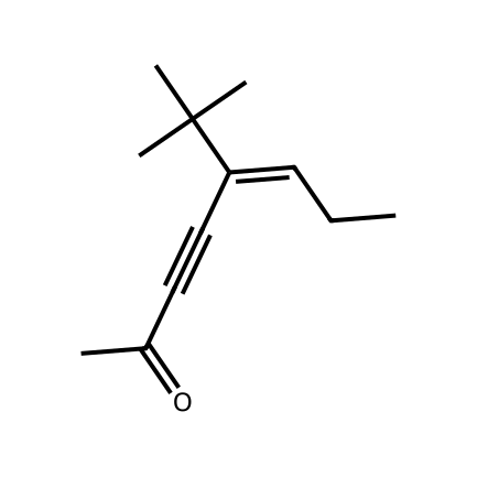 CCC=C(C#CC(C)=O)C(C)(C)C